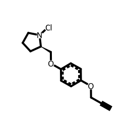 C#CCOc1ccc(OC[C@H]2CCCN2Cl)cc1